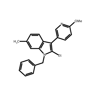 CCc1c(-c2ccc(OC)nc2)c2ccc(C)cc2n1Cc1ccccc1